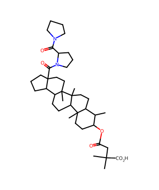 CC1C(OC(=O)CC(C)(C)C(=O)O)CCC2(C)C1CCC1(C)C2CCC2C3CCCC3(C(=O)N3CCCC3C(=O)N3CCCC3)CCC21C